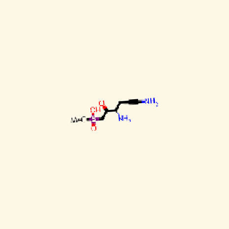 COP(=O)(O)CC(=O)[C@@H](N)CC#CN